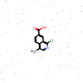 Cc1cnc(Cl)c2cc(C(=O)O)ccc12